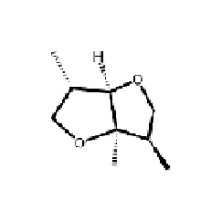 C[C@@H]1CO[C@@H]2[C@@H](C)CO[C@]12C